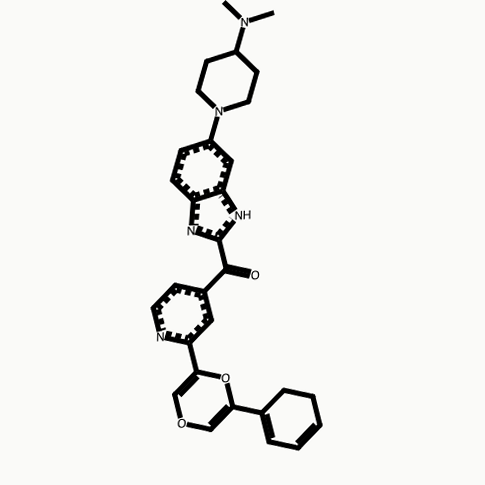 CN(C)C1CCN(c2ccc3nc(C(=O)c4ccnc(C5=COC=C(C6=CC=CCC6)O5)c4)[nH]c3c2)CC1